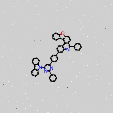 c1ccc(-c2nc(-c3ccc(-c4ccc5c(c4)nc(-c4ccccc4)c4ccc6oc7ccccc7c6c45)cc3)cc(-n3c4ccccc4c4ccccc43)n2)cc1